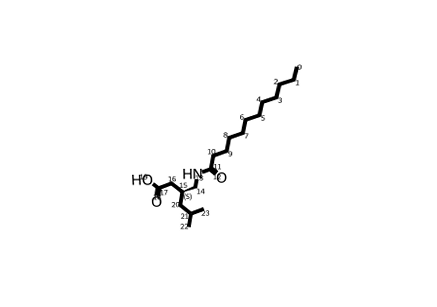 CCCCCCCCCCCC(=O)NC[C@H](CC(=O)O)CC(C)C